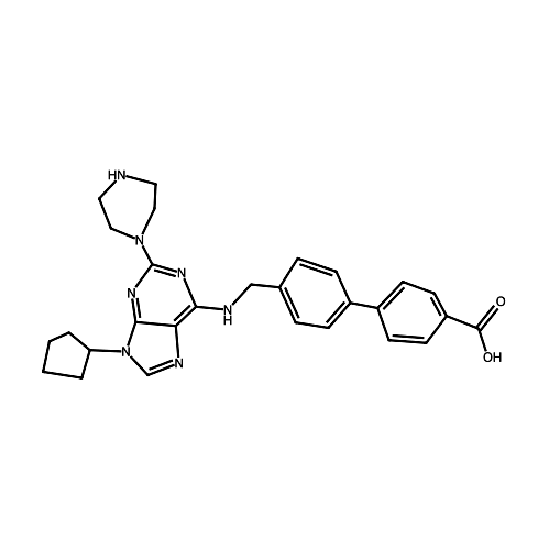 O=C(O)c1ccc(-c2ccc(CNc3nc(N4CCNCC4)nc4c3ncn4C3CCCC3)cc2)cc1